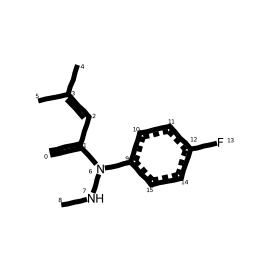 C=C(C=C(C)C)N(NC)c1ccc(F)cc1